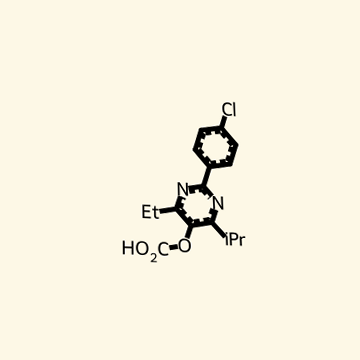 CCc1nc(-c2ccc(Cl)cc2)nc(C(C)C)c1OC(=O)O